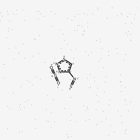 S=Nc1csnn1.[O]=[Ti]=[O]